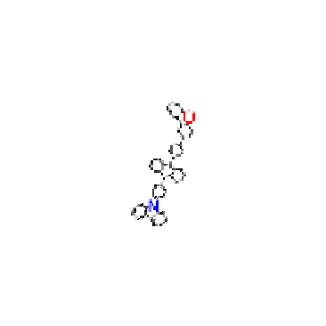 C1=CC2OC3C=CC(c4ccc(-c5c6ccccc6c(-c6ccc(-n7c8ccccc8c8ccccc87)cc6)c6ccccc56)cc4)=CC3C2C=C1